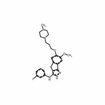 COc1cc2c(cc1OCCCN1CCN(C)CC1)Cc1c-2n[nH]c1Nc1cccc(F)c1